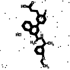 CCOc1cccc([C@@H](C)NC(C)c2cc(-c3ccc(F)c(CCC(=O)O)c3)c3ccccc3c2)c1.Cl